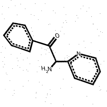 NC(C(=O)c1ccccc1)c1ccccn1